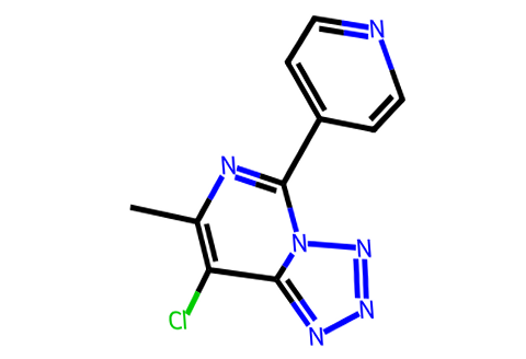 Cc1nc(-c2ccncc2)n2nnnc2c1Cl